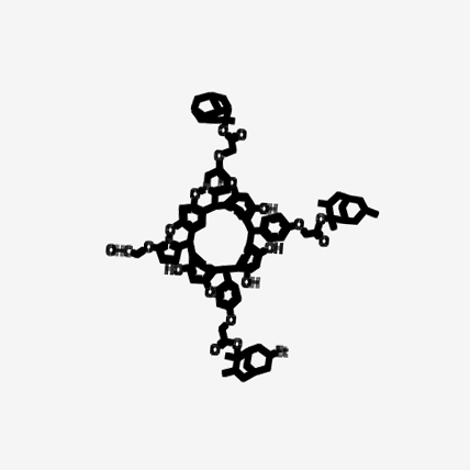 CCC1CC2CC(C)C(C)(OC(=O)COc3ccc(C4c5cc(c(O)cc5O)C5C6=P(=C(OCC=O)C=C6)Oc6cc7c(cc65)C(C5=CC=C(OCC(=O)OC6(C)C8CC9CC(C8)CC6C9)CP5O7)c5cc(c(O)cc5O)C(c5ccc(OCC(=O)OC6(C)C(C)CC7CC(C)CC6C7)cc5)c5cc4c(O)cc5O)cc3)C(C1)C2